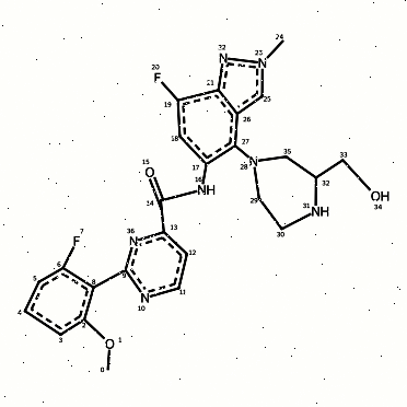 COc1cccc(F)c1-c1nccc(C(=O)Nc2cc(F)c3nn(C)cc3c2N2CCNC(CO)C2)n1